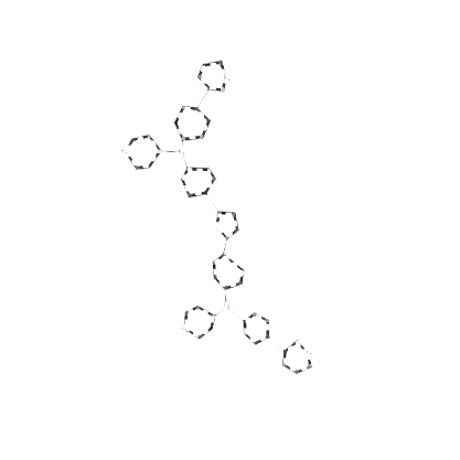 c1cncc(-c2ccc(N(c3ccncc3)c3ccc(-c4ccc(-c5ccc(N(c6ccncc6)c6ccc(-c7cccnc7)cc6)cc5)s4)cc3)cc2)c1